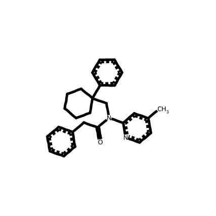 Cc1ccnc(N(CC2(c3ccccc3)CCCCC2)C(=O)Cc2ccccc2)c1